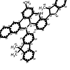 Cc1cc2c3c(c1)-c1cc4ccccc4cc1N(c1ccc4c(c1)C(C)(C)c1ccccc1-4)B3c1cccc(C3Sc4ccccc4C3C)c1N2